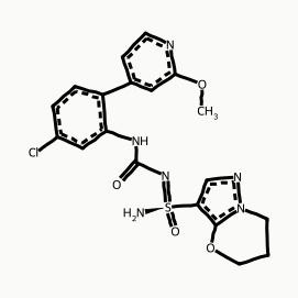 COc1cc(-c2ccc(Cl)cc2NC(=O)N=[S@@](N)(=O)c2cnn3c2OCCC3)ccn1